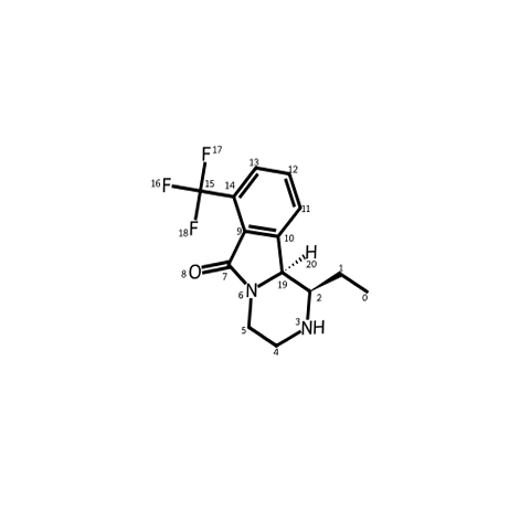 CC[C@H]1NCCN2C(=O)c3c(cccc3C(F)(F)F)[C@@H]12